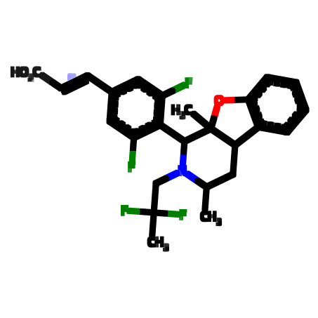 CC1CC2c3ccccc3OC2(C)C(c2c(F)cc(/C=C/C(=O)O)cc2F)N1CC(C)(F)F